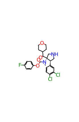 CN(C(=O)Oc1ccc(F)cc1)[C@]1(C(=O)C2CCOCC2)CNC[C@H]1c1ccc(Cl)c(Cl)c1